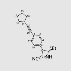 CC[C@H]1NC(C#N)C1c1ccc(C#CC2CCCC2)cc1